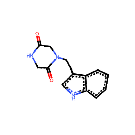 O=C1CN(Cc2c[nH]c3ccccc23)C(=O)CN1